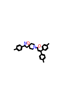 Cc1ccc(C(=CC(=O)N2CCC3(CC2)CC(c2ccc(C)cc2)=NO3)c2ccc(C)cc2)cc1